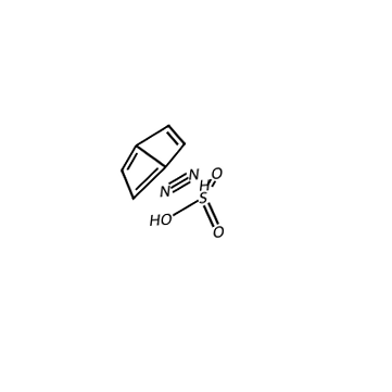 N#N.O=[SH](=O)O.c1cc2ccc1-2